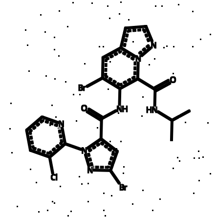 CC(C)NC(=O)c1c(NC(=O)c2cc(Br)nn2-c2ncccc2Cl)c(Br)cc2ccnn12